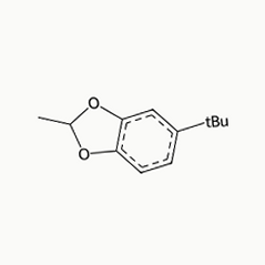 CC1Oc2ccc(C(C)(C)C)cc2O1